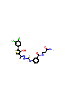 C/C(=N\NC(=S)Nc1cccc(C(=O)NCCC(N)=O)c1)c1csc(-c2ccc(Cl)c(Cl)c2)c1O